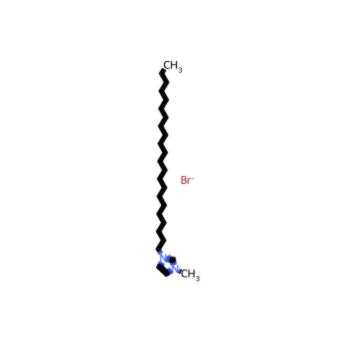 CCCCCCCCCCCCCCCCCCCCCC[n+]1ccn(C)c1.[Br-]